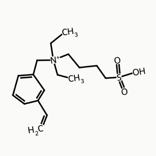 C=Cc1cccc(C[N+](CC)(CC)CCCCS(=O)(=O)O)c1